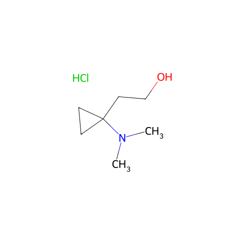 CN(C)C1(CCO)CC1.Cl